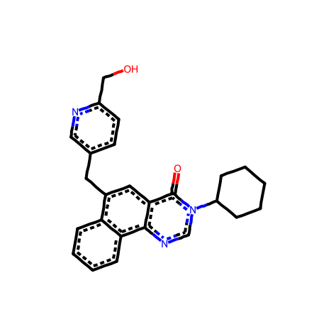 O=c1c2cc(Cc3ccc(CO)nc3)c3ccccc3c2ncn1C1CCCCC1